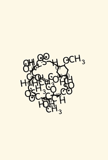 COC1C[C@@H]2CS(=O)(=O)C[C@H]3C[C@@H](OC)[C@H](CC3OC)CS(=O)(=O)C[C@H]3CC(OC)[C@H](C[C@H]3OC)CS(=O)(=O)C[C@H]1C[C@H]2OC